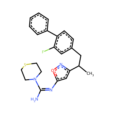 CC(Cc1ccc(-c2ccccc2)c(F)c1)c1cc(N=C(N)N2CCSCC2)on1